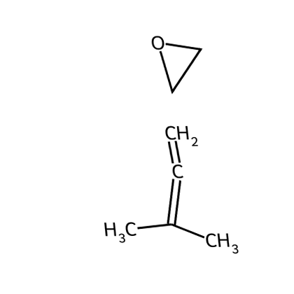 C1CO1.C=C=C(C)C